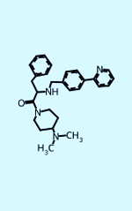 CN(C)C1CCN(C(=O)C(Cc2ccccc2)NCc2ccc(-c3ccccn3)cc2)CC1